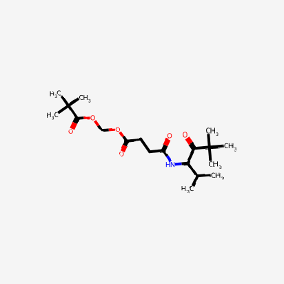 CC(C)C(NC(=O)CCC(=O)OCOC(=O)C(C)(C)C)C(=O)C(C)(C)C